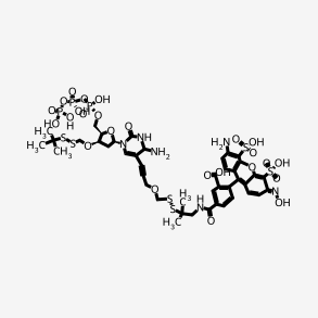 CC(C)(C)SSCO[C@@H]1C[C@H](N2C=C(C#CCOCSSC(C)(C)CNC(=O)c3ccc(-c4c5cc/c(=N\O)c(S(=O)(=O)O)c-5oc5c(S(=O)(=O)O)c(N)ccc45)c(C(=O)O)c3)C(N)NC2=O)O[C@@H]1COP(=O)(O)OP(=O)(O)OP(=O)(O)O